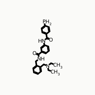 CCN(CC)Cc1ccccc1CNC(=O)c1cccc(NC(=O)c2ccc(P)cc2)c1